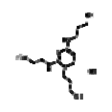 CCCCCCCCCCCCNC1=NC(NCCCO)=CCN1CCCO.Cl